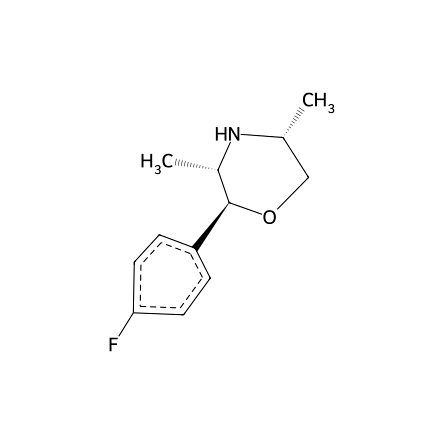 C[C@@H]1CO[C@@H](c2ccc(F)cc2)[C@H](C)N1